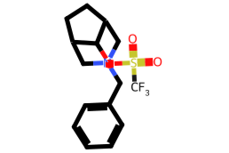 O=S(=O)(OC1C2CCC1CN(Cc1ccccc1)C2)C(F)(F)F